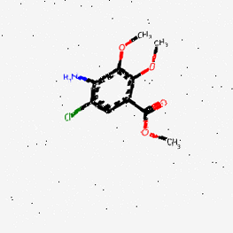 COC(=O)c1cc(Cl)c(N)c(OC)c1OC